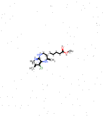 C=C(CC)/C(Cl)=C1/NC(=C)[C@@H](CCCCC(=O)OC(C)(C)C)CN/C1=N/C